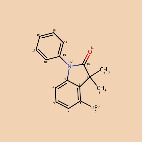 CCCc1cccc2c1C(C)(C)C(=O)N2c1ccccc1